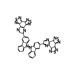 c1ccc2c(c1)c1cc(-c3cnc4c5nsnc5c5nsnc5c4n3)ccc1n2-n1c2ccccc2c2cc(-c3cnc4c5nsnc5c5nsnc5c4n3)ccc21